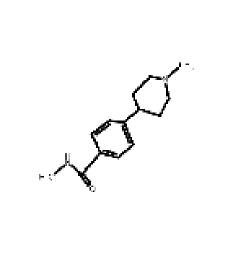 CNC(=O)c1ccc(C2CCN(C)CC2)cc1